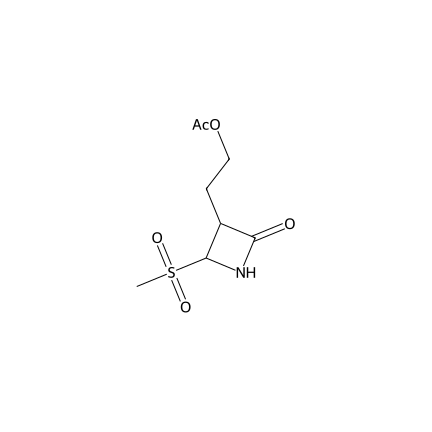 CC(=O)OCCC1C(=O)NC1S(C)(=O)=O